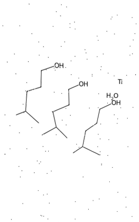 CC(C)CCCO.CC(C)CCCO.CC(C)CCCO.O.[Ti]